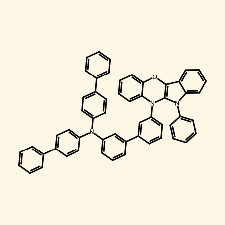 c1ccc(-c2ccc(N(c3ccc(-c4ccccc4)cc3)c3cccc(-c4cccc(N5c6ccccc6Oc6c5n(-c5ccccc5)c5ccccc65)c4)c3)cc2)cc1